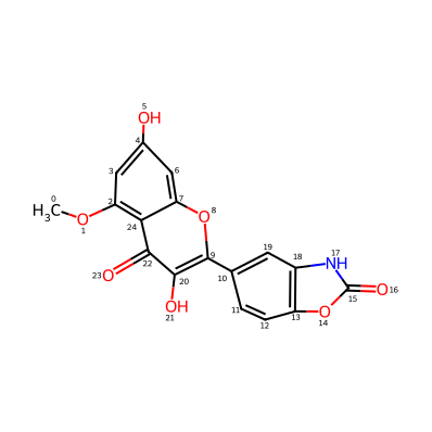 COc1cc(O)cc2oc(-c3ccc4oc(=O)[nH]c4c3)c(O)c(=O)c12